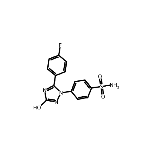 NS(=O)(=O)c1ccc(-n2nc(O)nc2-c2ccc(F)cc2)cc1